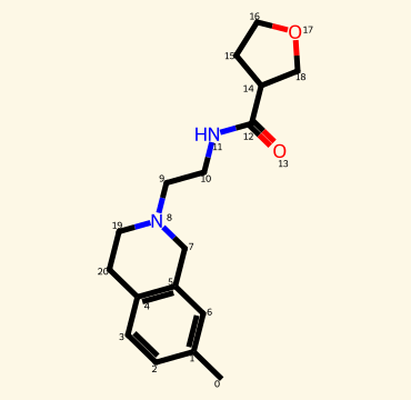 Cc1ccc2c(c1)CN(CCNC(=O)C1CCOC1)CC2